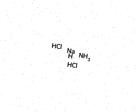 Cl.Cl.N.[NaH]